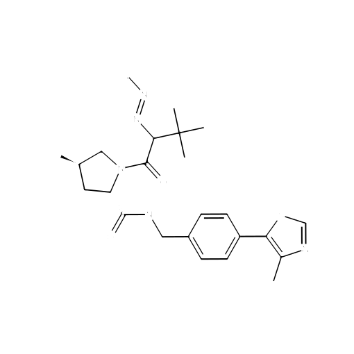 Cc1ncsc1-c1ccc(CNC(=O)[C@@H]2C[C@@H](O)CN2C(=O)C(N=NCl)C(C)(C)C)cc1